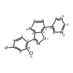 Fc1ccc(-c2noc3c(-c4cncnc4)ccnc23)c(Cl)c1